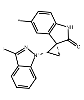 O=C1Nc2ccc(F)cc2[C@@]12C[C@@H]2n1nc(I)c2ccccc21